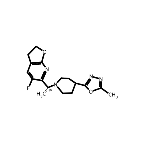 Cc1nnc(C2CCN([C@H](C)c3nc4c(cc3F)CCO4)CC2)o1